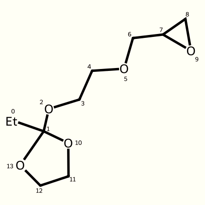 CCC1(OCCOCC2CO2)OCCO1